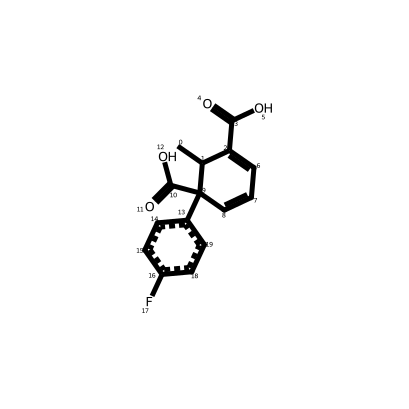 CC1C(C(=O)O)=CC=CC1(C(=O)O)c1ccc(F)cc1